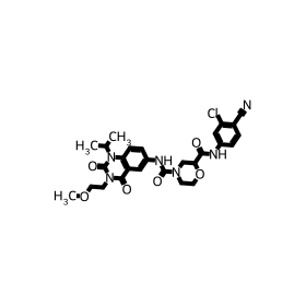 COCCn1c(=O)c2cc(NC(=O)N3CCOC(C(=O)Nc4ccc(C#N)c(Cl)c4)C3)ccc2n(C(C)C)c1=O